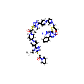 C=CCn1c(SCC(=O)N2CCCCC2)nnc1-c1cc[n+](C2CCCN(C(=O)CSc3nnc(-c4cc[n+](C5CCN(CC(C=O)Sc6nnc(C7CCCCC7)n6N)C5)cc4)n3CC)CC2)cc1